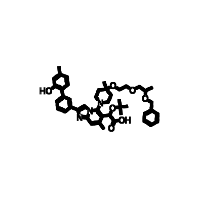 Cc1ccc(-c2cccc(-c3cn4c(N5CCC(C)(OCCOCC(C)OCc6ccccc6)CC5)c(C(OC(C)(C)C)C(=O)O)c(C)cc4n3)c2)c(O)c1